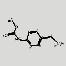 CC(C)(C)OC(=O)Nc1ccc(CC(=O)O)cn1